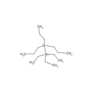 CCC[Si](CCC)(CCC)[Sn]([CH2]C)([CH2]C)[CH2]C